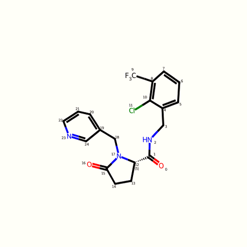 O=C(NCc1cccc(C(F)(F)F)c1Cl)[C@@H]1CCC(=O)N1Cc1cccnc1